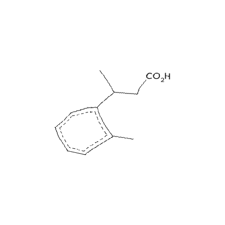 Cc1ccccc1C(C)CC(=O)O